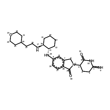 N=C1CCC(N2Cc3cc(N[C@H]4CCCC[C@@H]4NCCC4CCOCC4)ccc3C2=O)C(=O)N1